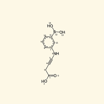 O=C(O)CC#CNc1cccc(B(O)O)c1